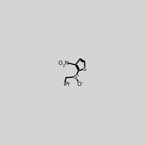 CC(C)C[S+]([O-])c1sccc1[N+](=O)[O-]